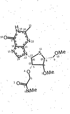 CNC(=O)CO[C@H]1C(OC)[C@@H](COC)S[C@H]1n1cnc2c(=O)[nH]c(C)nc21